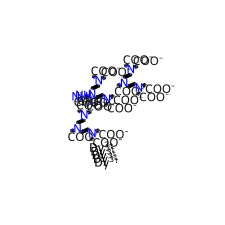 NC=O.NC=O.O=C([O-])CN(CCN(CC(=O)[O-])CC(=O)[O-])CCN(CC(=O)[O-])CC(=O)[O-].O=C([O-])CN(CCN(CC(=O)[O-])CC(=O)[O-])CCN(CC(=O)[O-])CC(=O)[O-].O=C([O-])CN(CCN(CC(=O)[O-])CC(=O)[O-])CCN(CC(=O)[O-])CC(=O)[O-].[Dy+3].[Dy+3].[Dy+3].[Dy+3].[Dy+3]